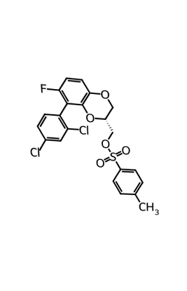 Cc1ccc(S(=O)(=O)OC[C@H]2COc3ccc(F)c(-c4ccc(Cl)cc4Cl)c3O2)cc1